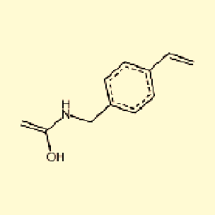 C=Cc1ccc(CNC(=C)O)cc1